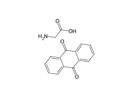 NCC(=O)O.O=C1c2ccccc2C(=O)c2ccccc21